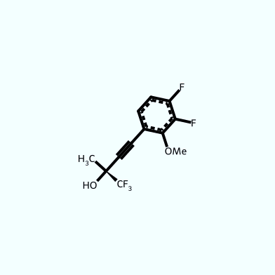 COc1c(C#C[C@@](C)(O)C(F)(F)F)ccc(F)c1F